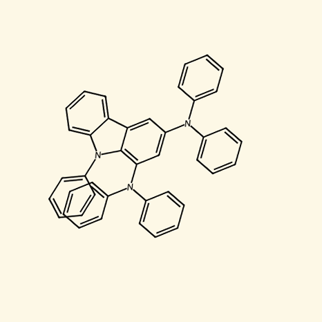 c1ccc(N(c2ccccc2)c2cc(N(c3ccccc3)c3ccccc3)c3c(c2)c2ccccc2n3-c2ccccc2)cc1